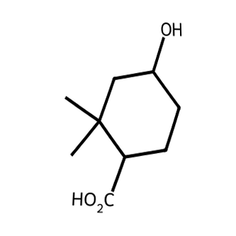 CC1(C)CC(O)CCC1C(=O)O